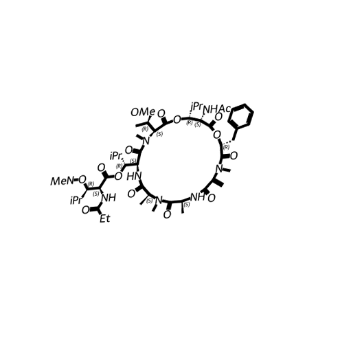 C=C1C(=O)N[C@@H](C)C(=O)N(C)[C@@H](C)C(=O)N[C@@H]([C@H](OC(=O)[C@@H](NC(=O)CC)[C@H](ONC)C(C)C)C(C)C)C(=O)N(C)[C@@H]([C@@H](C)OC)C(=O)O[C@H](C(C)C)[C@H](NC(C)=O)C(=O)O[C@H](Cc2ccccc2)C(=O)N1C